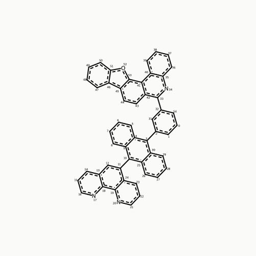 c1cc(-c2c3ccccc3c(-c3cc4cccnc4c4ncccc34)c3ccccc23)cc(-c2nc3ccccc3c3c2ccc2c4ccccc4oc23)c1